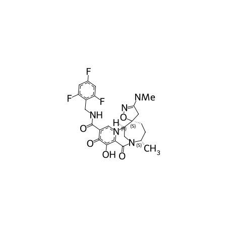 CNC1=NO[C@@]2(CC[C@H](C)N3C[C@H]2n2cc(C(=O)NCc4c(F)cc(F)cc4F)c(=O)c(O)c2C3=O)C1